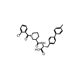 Cc1ccc(-c2ccc(C[C@H](NC(=O)C3CCCN(C(=O)c4ccccc4Cl)C3)C(=O)O)cc2)cc1